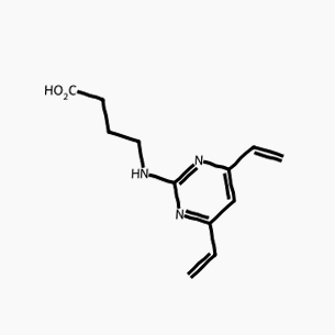 C=Cc1cc(C=C)nc(NCCCC(=O)O)n1